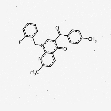 Cc1ccc(C(=O)c2cn(Cc3ccccc3F)c3nc(C)ccc3c2=O)cc1